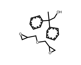 C(OCC1CO1)C1CO1.CC(CO)(c1ccccc1)c1ccccc1